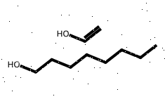 C=CO.CCCCCCCCO